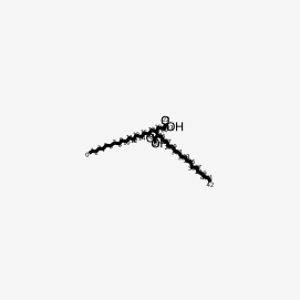 CCCCCCCCCCCCCCCCCCC(CCC(=O)O)C(CCCCCCCCCCCCCCCCCC)C(=O)O